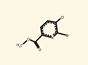 COC(=O)c1ccc(Cl)c(Br)n1